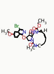 CCOC(=O)[C@@]12C[C@H]1/C=C\CCCCN(C)C(=O)N1C[C@H](Oc3ncc(Br)c4cc(OC)ccc34)C[C@H]1C(=O)N2